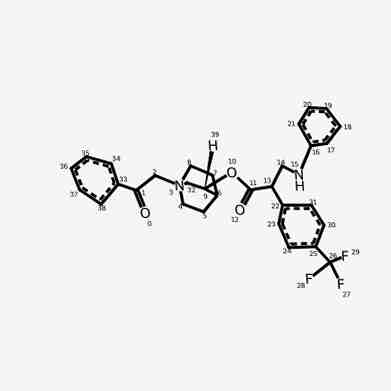 O=C(C[N+]12CCC(CC1)[C@@H](OC(=O)C(CNc1ccccc1)c1ccc(C(F)(F)F)cc1)C2)c1ccccc1